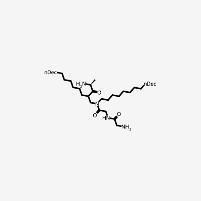 CCCCCCCCCCCCCCCCCCN(CC(CCCCCCCCCCCCCCCC)C(=O)[C@H](C)N)C(=O)CNC(=O)CN